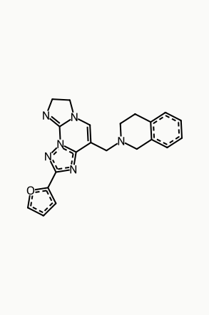 C1=C(CN2CCc3ccccc3C2)c2nc(-c3ccco3)nn2C2=NCCN12